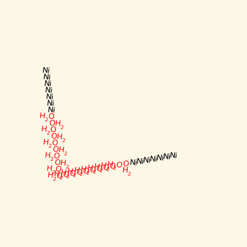 O.O.O.O.O.O.O.O.O.O.O.O.O.O.O.O.O.O.O.O.[Ni].[Ni].[Ni].[Ni].[Ni].[Ni].[Ni].[Ni].[Ni].[Ni].[Ni].[Ni].[Ni].[Ni]